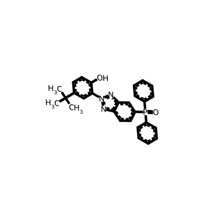 CC(C)(C)c1ccc(O)c(-n2nc3ccc(P(=O)(c4ccccc4)c4ccccc4)cc3n2)c1